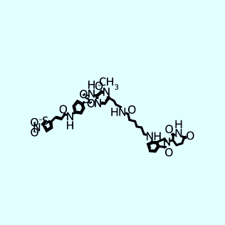 COc1nc(CCCNC(=O)CCCCCNc2cccc3c2CN(C2CCC(=O)NC2=O)C3=O)cnc1NS(=O)(=O)c1ccc(NC(=O)/C=C/c2ccc([N+](=O)[O-])s2)cc1